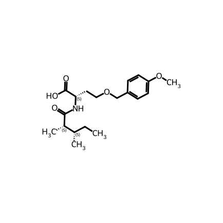 CC[C@H](C)[C@H](C)C(=O)N[C@@H](CCOCc1ccc(OC)cc1)C(=O)O